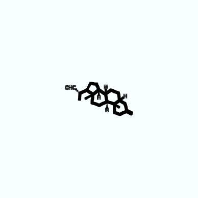 C=C1CC[C@@]2(C)[C@H](CC[C@@H]3[C@@H]2CC[C@]2(C)[C@@H]([C@H](C)C=O)CC[C@@H]32)C1